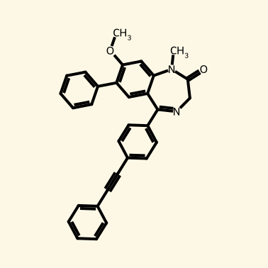 COc1cc2c(cc1-c1ccccc1)C(c1ccc(C#Cc3ccccc3)cc1)=NCC(=O)N2C